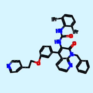 CC(C)c1cccc(C(C)C)c1NC(=O)Nc1c(-c2cccc(OCCc3ccncc3)c2)c2cccnc2n(Cc2ccccc2)c1=O